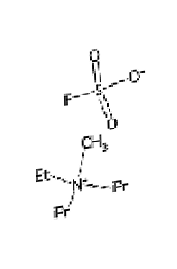 CC[N+](C)(C(C)C)C(C)C.O=S(=O)([O-])F